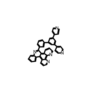 c1cc(-c2cc(-c3ccncc3)cc(-c3ccncc3)c2)cc(-c2nc3ccccc3c3c4cccnc4c4ncccc4c23)c1